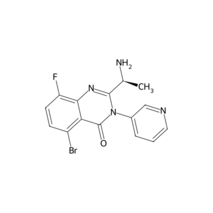 C[C@H](N)c1nc2c(F)ccc(Br)c2c(=O)n1-c1cccnc1